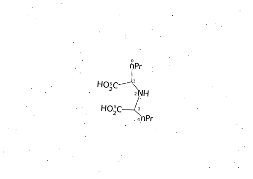 CCCC(NC(CCC)C(=O)O)C(=O)O